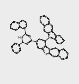 c1ccc(C2N=C(c3cc(-n4c5ccccc5c5cc6ccccc6cc54)c4c(c3)oc3cc5ccccc5cc34)N=C(c3cccc4ccccc34)N2)cc1